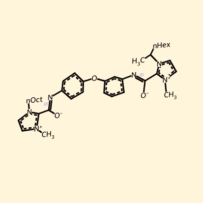 CCCCCCCCn1cc[n+](C)c1/C([O-])=N/c1ccc(Oc2cccc(/N=C(\[O-])c3n(C(C)CCCCCC)cc[n+]3C)c2)cc1